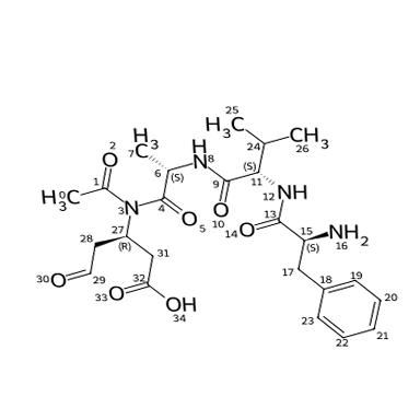 CC(=O)N(C(=O)[C@H](C)NC(=O)[C@@H](NC(=O)[C@@H](N)Cc1ccccc1)C(C)C)[C@H](CC=O)CC(=O)O